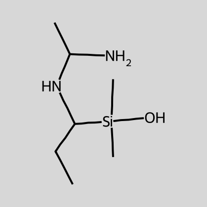 CCC(NC(C)N)[Si](C)(C)O